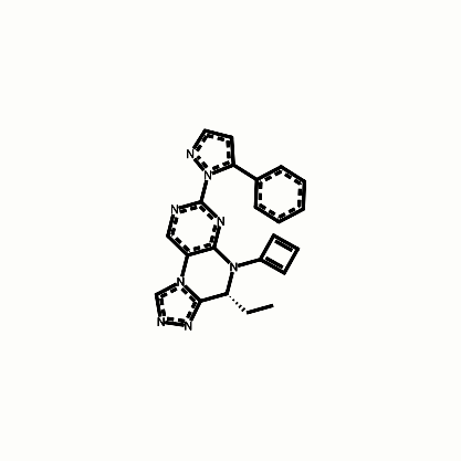 CC[C@@H]1c2nncn2-c2cnc(-n3nccc3-c3ccccc3)nc2N1C1=CC=C1